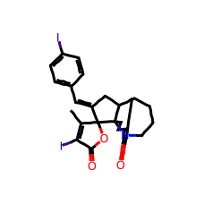 CC1=C(I)C(=O)OC12/C(=C/c1ccc(I)cc1)CC1CCCCN3C(=O)CCC132